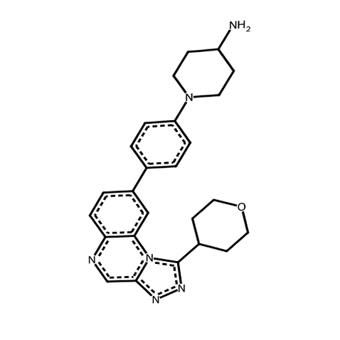 NC1CCN(c2ccc(-c3ccc4ncc5nnc(C6CCOCC6)n5c4c3)cc2)CC1